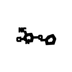 N#Cc1cc(OCc2ccccc2)cnc1Cl